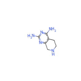 Nc1nc(N)c2c(n1)CNCC2